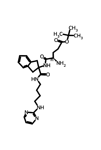 CC(C)(C)OC(=O)CC[C@@H](N)C(=O)NC1(C(=O)NCCCCNc2ncccn2)Cc2ccccc2C1